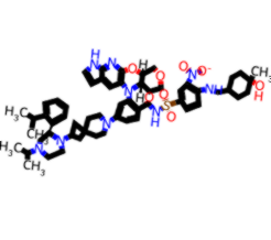 CC(C)c1ccccc1[C@@H]1CN(C(C)C)CCN1C1CC2(CCN(c3ccc(C(=O)NS(=O)(=O)c4ccc(NCC5CCC(C)(O)CC5)c([N+](=O)[O-])c4)c(N4c5cc6cc[nH]c6nc5O[C@H]5COCC[C@@H]54)c3)CC2)C1